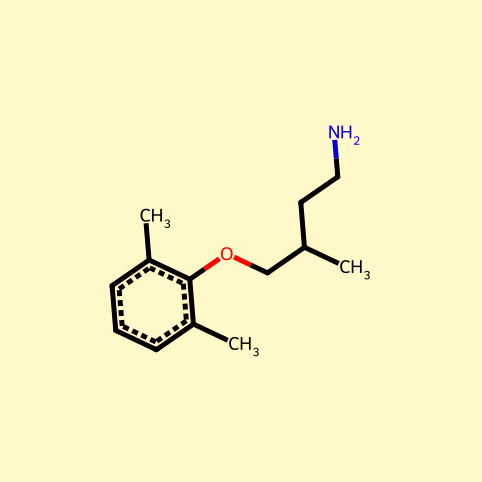 Cc1cccc(C)c1OCC(C)CCN